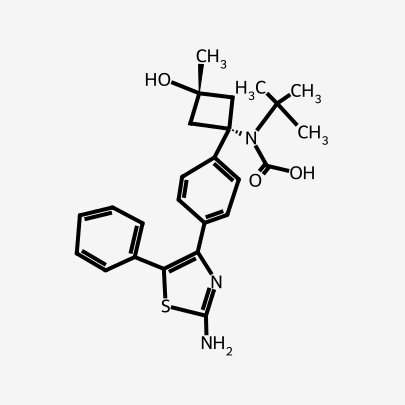 CC(C)(C)N(C(=O)O)[C@]1(c2ccc(-c3nc(N)sc3-c3ccccc3)cc2)C[C@](C)(O)C1